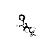 CC1=C(N(C)CS(=O)(=O)O)CN(C2=CC=COC2)N1C